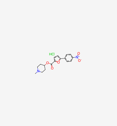 CN1CCC(OC(=O)c2ccc(-c3ccc([N+](=O)[O-])cc3)o2)CC1.Cl